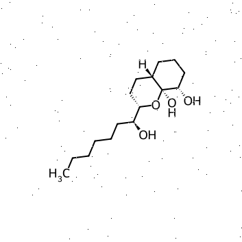 CCCCCC[C@H](O)[C@@H]1CC[C@@H]2CCC[C@H](O)[C@@]2(O)O1